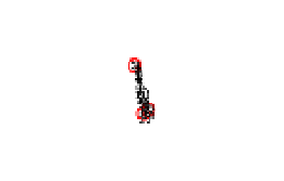 C1CO1.CCCCCCCCCCCCCC(=O)OC(C)C